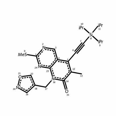 CSc1ncc2c(C#C[Si](C(C)C)(C(C)C)C(C)C)c(C)c(=O)n(Cc3cnoc3)c2n1